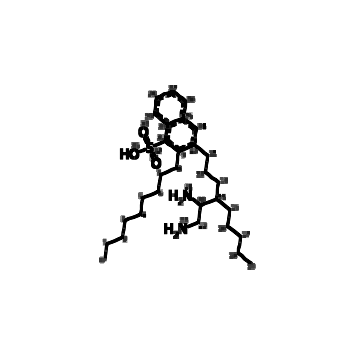 CCCCCCCCCc1c(CCCC(CCCCC)C(N)CN)cc2ccccc2c1S(=O)(=O)O